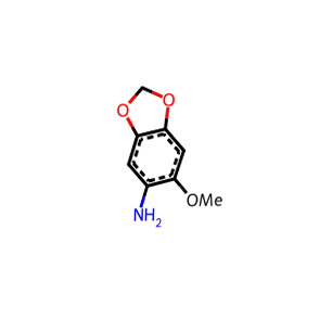 COc1cc2c(cc1N)OCO2